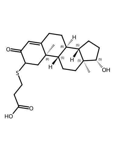 C[C@]12CC[C@H]3[C@@H](CCC4=CC(=O)C(SCCC(=O)O)C[C@@]43C)[C@@H]1CC[C@@H]2O